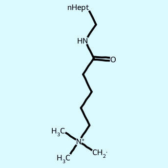 [CH2][N+](C)(C)CCCCC(=O)NCCCCCCCC